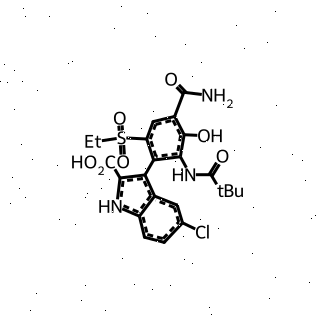 CCS(=O)(=O)c1cc(C(N)=O)c(O)c(NC(=O)C(C)(C)C)c1-c1c(C(=O)O)[nH]c2ccc(Cl)cc12